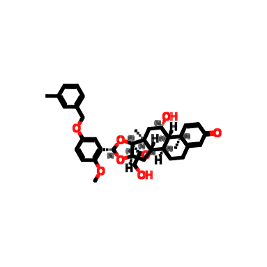 COc1ccc(OCc2cccc(C)c2)cc1[C@H]1O[C@@H]2C[C@H]3[C@@H]4CCC5=CC(=O)C=C[C@]5(C)[C@H]4[C@@H](O)C[C@]3(C)[C@]2(C(=O)CO)O1